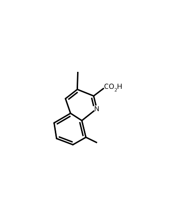 Cc1cc2cccc(C)c2nc1C(=O)O